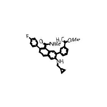 C=C(OC)c1cccc(-c2cc3c(cc2NCC2CC2)CCC(c2ccc(F)cc2)=C3C(=O)NC)c1